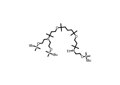 CCN(CCO[Si](C)(C)C(C)(C)C)C(C)(C)CCOC(C)(C)CCCC(C)(C)OCCC(C)(C)N(CCO[Si](C)(C)C(C)(C)C)CCO[Si](C)(C)C(C)(C)C